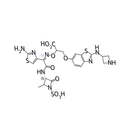 CC1[C@H](NC(=O)/C(=N\OC(COc2ccc3nc(NC4CNC4)sc3c2)C(=O)O)c2csc(N)n2)C(=O)N1S(=O)(=O)O